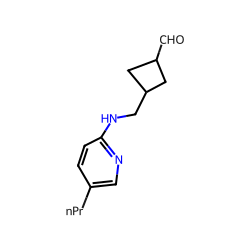 CCCc1ccc(NCC2CC(C=O)C2)nc1